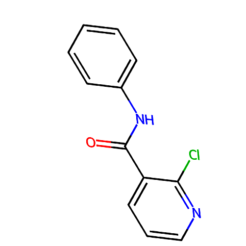 O=C(Nc1ccccc1)c1cccnc1Cl